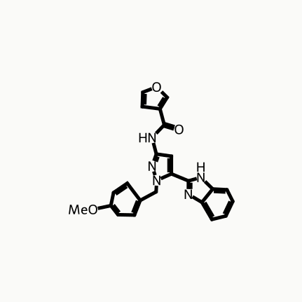 COc1ccc(Cn2nc(NC(=O)c3ccoc3)cc2-c2nc3ccccc3[nH]2)cc1